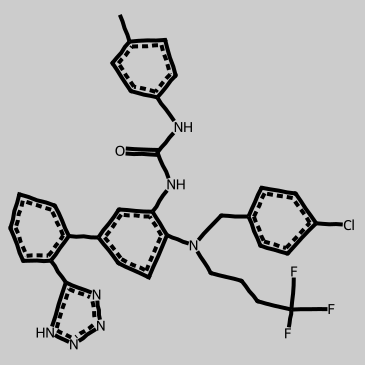 Cc1ccc(NC(=O)Nc2cc(-c3ccccc3-c3nnn[nH]3)ccc2N(CCCC(F)(F)F)Cc2ccc(Cl)cc2)cc1